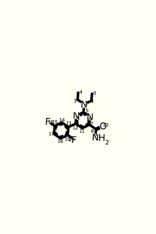 CCN(CC)c1nc(C(N)=O)cc(-c2cc(F)ccc2F)n1